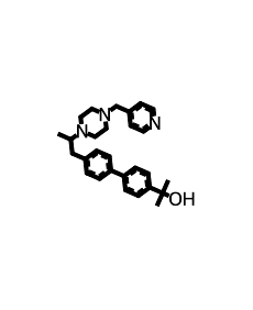 CC(Cc1ccc(-c2ccc(C(C)(C)O)cc2)cc1)N1CCN(Cc2ccncc2)CC1